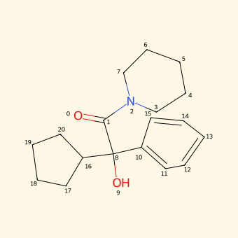 O=C(N1CCCCC1)C(O)(c1ccccc1)C1CCCC1